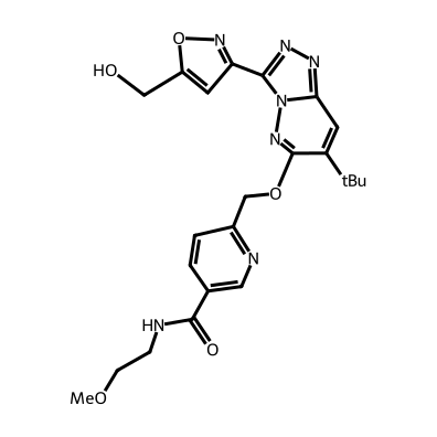 COCCNC(=O)c1ccc(COc2nn3c(-c4cc(CO)on4)nnc3cc2C(C)(C)C)nc1